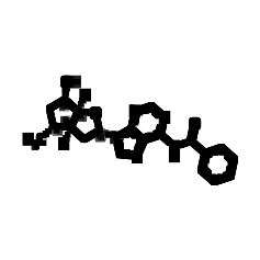 C[C@@H]1C[C@@H](O)[C@H]2O[C@H](n3cnc4c(NC(=O)c5ccccc5)ncnc43)C[C@H]21